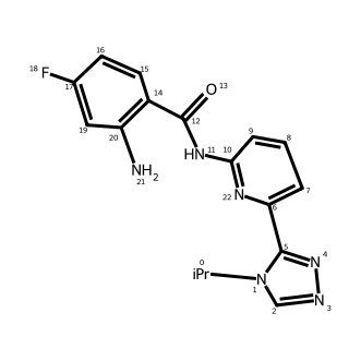 CC(C)n1cnnc1-c1cccc(NC(=O)c2ccc(F)cc2N)n1